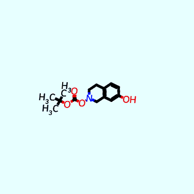 CC(C)(C)OC(=O)ON1CCc2ccc(O)cc2C1